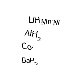 [AlH3].[BaH2].[Co].[LiH].[Mn].[Ni]